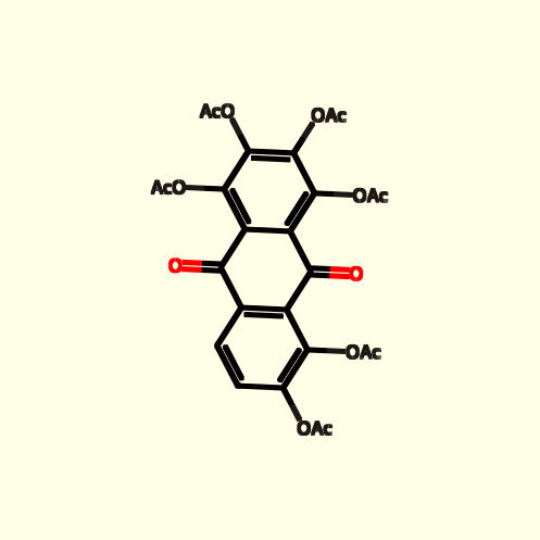 CC(=O)Oc1ccc2c(c1OC(C)=O)C(=O)c1c(OC(C)=O)c(OC(C)=O)c(OC(C)=O)c(OC(C)=O)c1C2=O